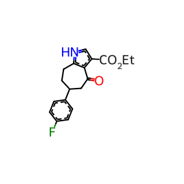 CCOC(=O)c1c[nH]c2c1C(=O)CC(c1ccc(F)cc1)CC2